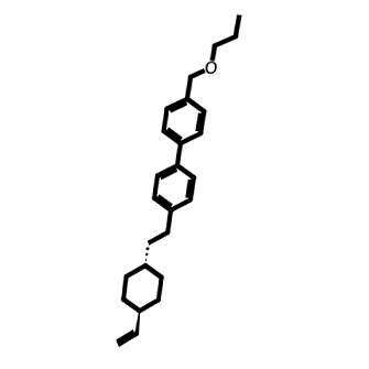 C=C[C@H]1CC[C@H](CCc2ccc(-c3ccc(COCCC)cc3)cc2)CC1